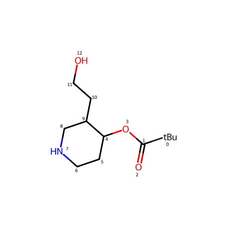 CC(C)(C)C(=O)OC1CCNCC1CCO